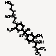 CCC(CC)(c1ccc(OC[C@H](O)CCCO)c(C)c1)c1ccc(C(O)=CC(C(F)(F)F)C(F)(F)F)c(C)c1